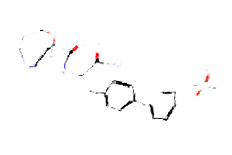 CS(=O)(=O)Oc1cccc(-c2ccc(C[C@H](NC(=O)[C@@H]3CN(C(=O)O)CCCO3)C(N)=O)cc2)c1